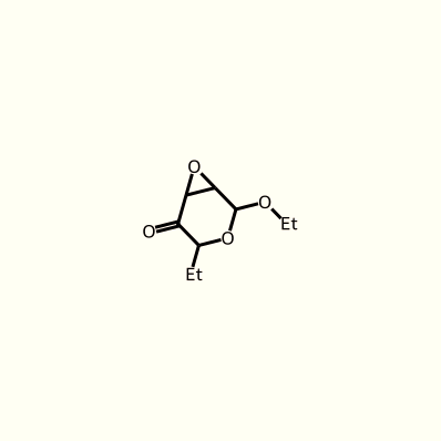 CCOC1OC(CC)C(=O)C2OC12